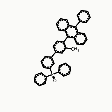 Cc1cc(-c2cccc(P(=O)(c3ccccc3)c3ccccc3)c2)ccc1-c1c2ccccc2c(-c2ccccc2)c2ccccc12